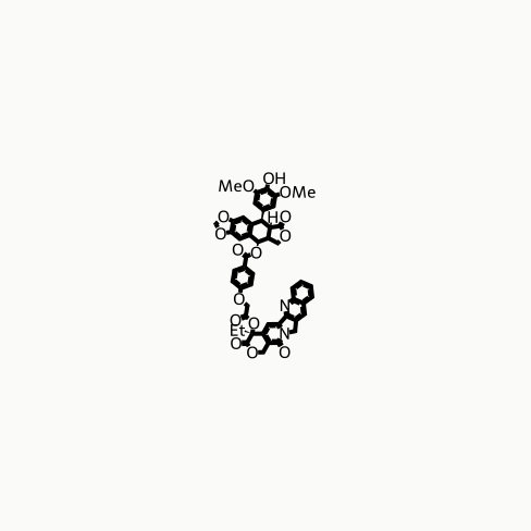 CC[C@@]1(OC(=O)COc2ccc(C(=O)O[C@@H]3c4cc5c(cc4[C@@H](c4cc(OC)c(O)c(OC)c4)[C@H]4C(=O)OCC34)OCO5)cc2)C(=O)OCc2c1cc1n(c2=O)Cc2cc3ccccc3nc2-1